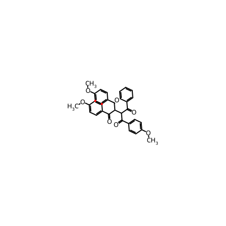 COc1ccc(C(=O)C(C(=O)c2ccccc2)C(C(=O)c2ccc(OC)cc2)C(=O)c2ccc(OC)cc2)cc1